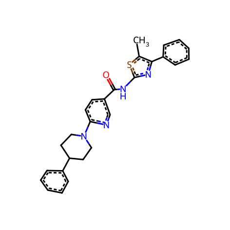 Cc1sc(NC(=O)c2ccc(N3CCC(c4ccccc4)CC3)nc2)nc1-c1ccccc1